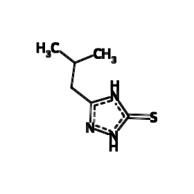 CC(C)Cc1n[nH]c(=S)[nH]1